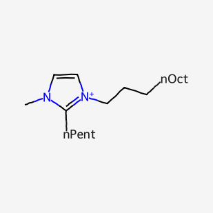 CCCCCCCCCCC[n+]1ccn(C)c1CCCCC